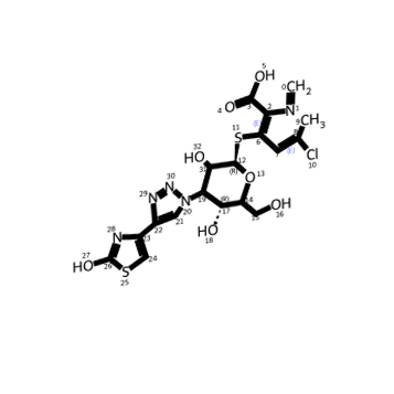 C=N/C(C(=O)O)=C(\C=C(/C)Cl)S[C@H]1OC(CO)[C@H](O)C(n2cc(-c3csc(O)n3)nn2)C1O